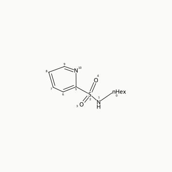 CCCCCCNS(=O)(=O)c1ccccn1